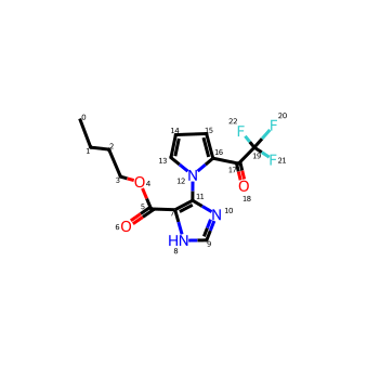 CCCCOC(=O)c1[nH]cnc1-n1cccc1C(=O)C(F)(F)F